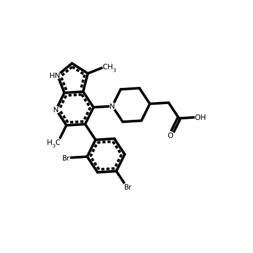 Cc1nc2[nH]cc(C)c2c(N2CCC(CC(=O)O)CC2)c1-c1ccc(Br)cc1Br